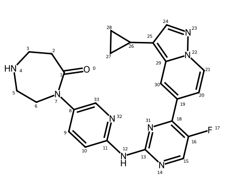 O=C1CCNCCN1c1ccc(Nc2ncc(F)c(-c3ccn4ncc(C5CC5)c4c3)n2)nc1